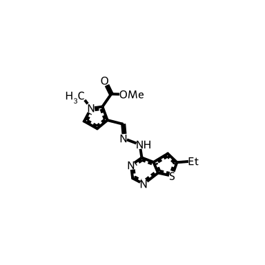 CCc1cc2c(NN=Cc3ccn(C)c3C(=O)OC)ncnc2s1